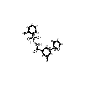 Cc1cc(C(=O)NNS(=O)(=O)c2ccccc2F)cc(-c2ccco2)c1